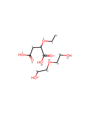 CCOC(CC(=O)O)C(=O)O.OCCOCCO